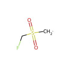 [CH2]S(=O)(=O)CF